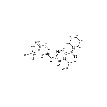 Cc1cccc2c(Nc3ccc(F)c(C(F)(F)F)c3)ncc(C(=O)N3CCCCC3)c12